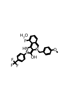 COc1ccc(CN2C=c3cccc(F)c3=C3NN(c4ccc(C(F)(F)F)cc4)C(O)=C32)cc1.O